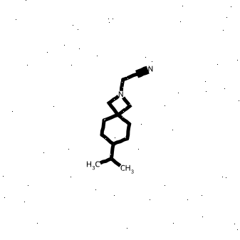 CC(C)C1CCC2(CC1)CN(CC#N)C2